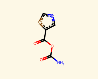 NC(=O)OC(=O)c1cncs1